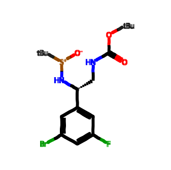 CC(C)(C)OC(=O)NC[C@@H](N[S+]([O-])C(C)(C)C)c1cc(F)cc(Br)c1